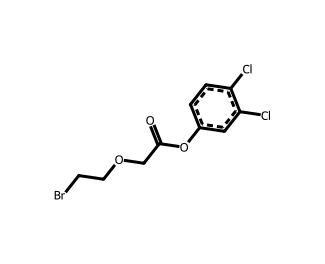 O=C(COCCBr)Oc1ccc(Cl)c(Cl)c1